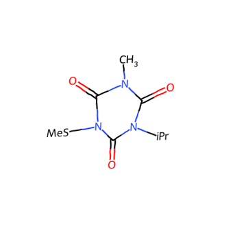 CSn1c(=O)n(C)c(=O)n(C(C)C)c1=O